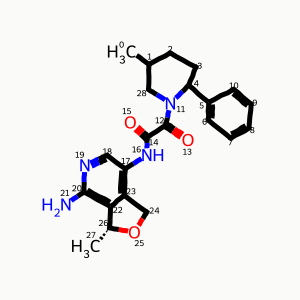 CC1CCC(c2ccccc2)N(C(=O)C(=O)Nc2cnc(N)c3c2CO[C@@H]3C)C1